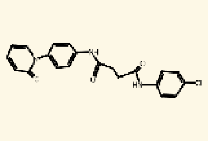 O=C(CCC(=O)Nc1ccc(-n2ccccc2=O)cc1)Nc1ccc(Cl)cc1